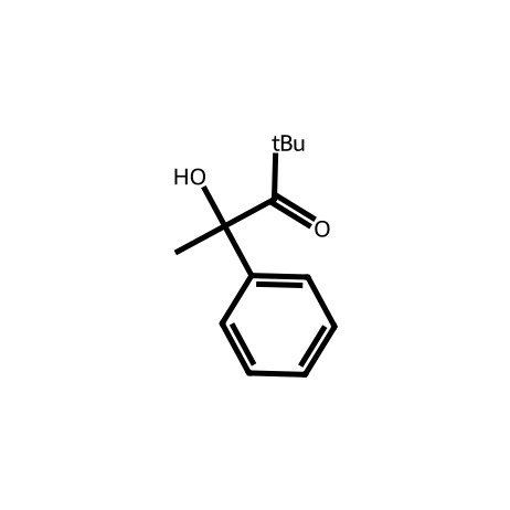 CC(C)(C)C(=O)C(C)(O)c1ccccc1